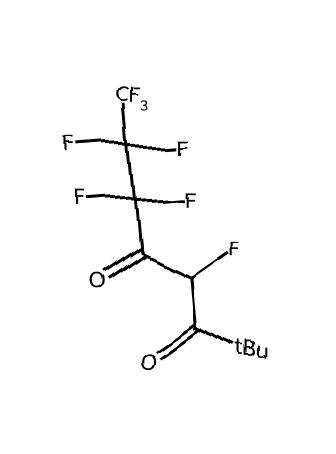 CC(C)(C)C(=O)C(F)C(=O)C(F)(F)C(F)(F)C(F)(F)F